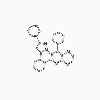 c1ccc(-c2cc3c4ccccc4c4nc5nccnc5c(-c5ccccc5)c4n3n2)cc1